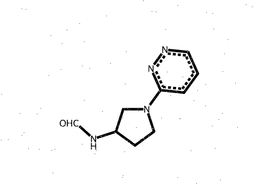 O=CNC1CCN(c2cccnn2)C1